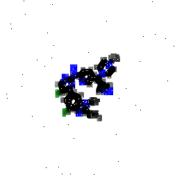 CCN1CCN([C@@H](c2ccc(Nc3ncc(F)c(-c4cc(F)c5nc(C)n(C(C)C)c5c4)n3)nc2)C2CNC2)CC1